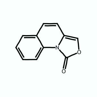 O=c1occ2ccc3ccccc3n12